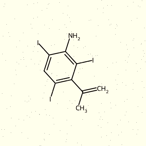 C=C(C)c1c(I)cc(I)c(N)c1I